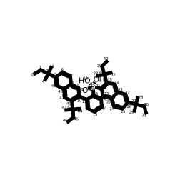 CCC(C)(C)c1ccc2cc(-c3ccccc3P(O)(O)(O)c3cc4ccc(C(C)(C)CC)cc4cc3C(C)(C)CC)c(C(C)(C)CC)cc2c1